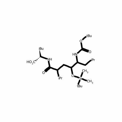 CC[C@H](C)[C@H](NC(=O)C(CC(O[Si](C)(C)C(C)(C)C)C(CC(C)C)NC(=O)OC(C)(C)C)C(C)C)C(=O)O